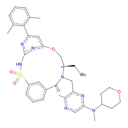 Cc1cccc(C)c1-c1cc2nc(n1)NS(=O)(=O)c1cccc(c1)C(=O)N(Cc1nc(N(C)C3CCOCC3)cnc1C)[C@H](CC(C)(C)C)CO2